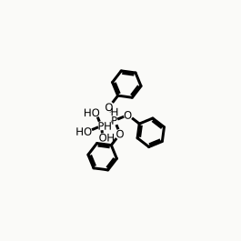 O[PH](O)(O)[PH](Oc1ccccc1)(Oc1ccccc1)Oc1ccccc1